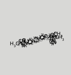 CCC(C)n1ncn(-c2ccc(N3CCN(c4ccc(OCC5COC(Cn6nccn6)(C(C)C)O5)cc4)CC3)cc2)c1=O